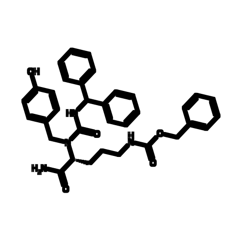 NC(=O)[C@@H](CCCNC(=O)OCc1ccccc1)N(Cc1ccc(O)cc1)C(=O)NC(c1ccccc1)c1ccccc1